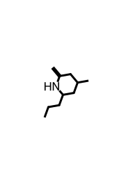 C=C1CC(C)CC(CCC)N1